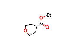 CCOC(=O)C1CCOCC1